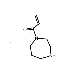 C=CC(=O)N1CCCNCC1